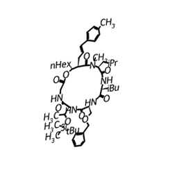 CCCCCC[C@H]1OC(=O)CNC(=O)[C@H](C(C)O[Si](C)(C)C(C)(C)C)NC(=O)[C@H](COCc2ccccc2)NC(=O)[C@H](C(C)CC)NC(=O)[C@H](CC(C)C)N(C)C(=O)[C@@H]1C/C=C/c1ccc(C)cc1